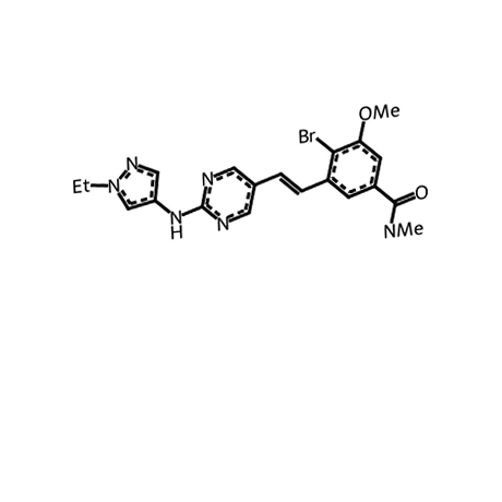 CCn1cc(Nc2ncc(C=Cc3cc(C(=O)NC)cc(OC)c3Br)cn2)cn1